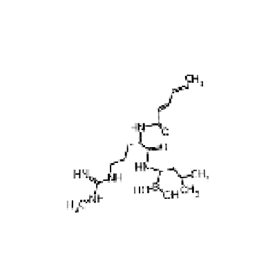 C/C=C/C=C/C(=O)N[C@@H](CCCNC(=N)NC)C(=O)N[C@@H](CC(C)C)B(O)O